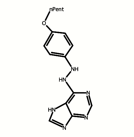 CCCCCOc1ccc(NNc2ncnc3nc[nH]c23)cc1